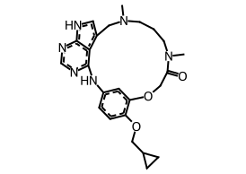 CN1CCCN(C)C(=O)COc2cc(ccc2OCC2CC2)Nc2ncnc3[nH]cc(c23)C1